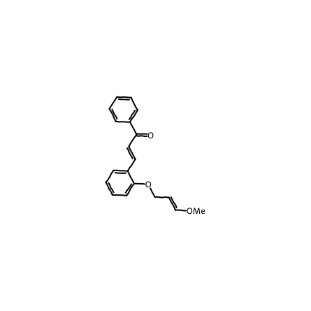 COC=CCOc1ccccc1C=CC(=O)c1ccccc1